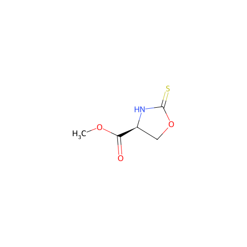 COC(=O)[C@@H]1COC(=S)N1